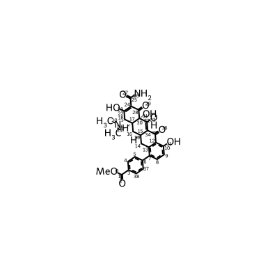 COC(=O)c1ccc(-c2ccc(O)c3c2C[C@H]2C[C@H]4[C@H](N(C)C)C(O)=C(C(N)=O)C(=O)[C@@]4(O)C(O)=C2C3=O)cc1